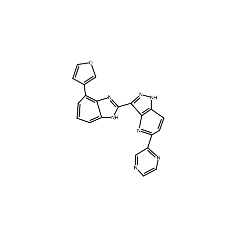 c1cc(-c2ccoc2)c2nc(-c3n[nH]c4ccc(-c5cnccn5)nc34)[nH]c2c1